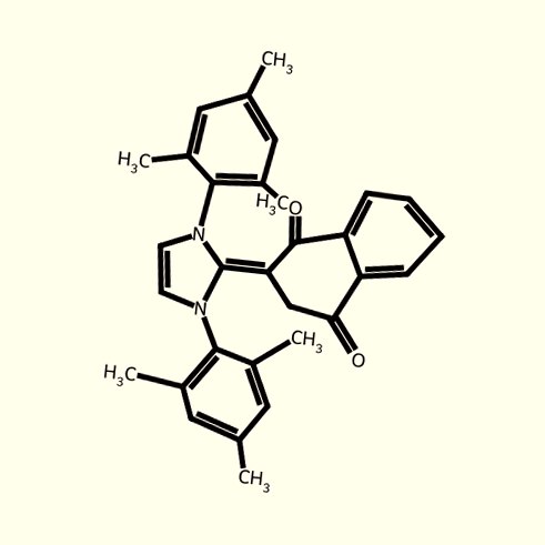 Cc1cc(C)c(N2C=CN(c3c(C)cc(C)cc3C)C2=C2CC(=O)c3ccccc3C2=O)c(C)c1